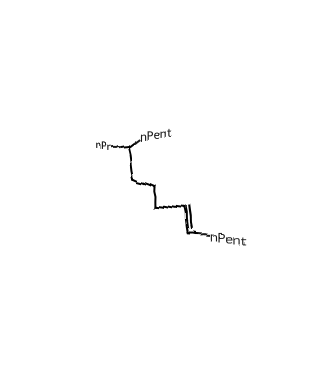 CCCCCC=CCCCC(CCC)CCCCC